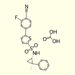 C[C@]1(c2ccccc2)C[C@@H]1NS(=O)(=O)c1ccc(-c2ccc(C#N)c(F)c2)s1.O=C(O)O